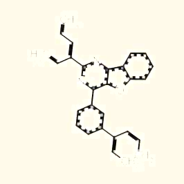 C=C/C=C(\C=C)c1nc(-c2cccc(C(/C=C\C)=C/C)c2)c2oc3ccccc3c2n1